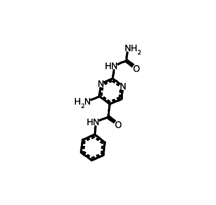 NC(=O)Nc1ncc(C(=O)Nc2ccccc2)c(N)n1